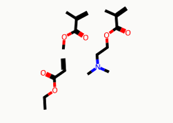 C=C(C)C(=O)OC.C=C(C)C(=O)OCCN(C)C.C=CC(=O)OCC